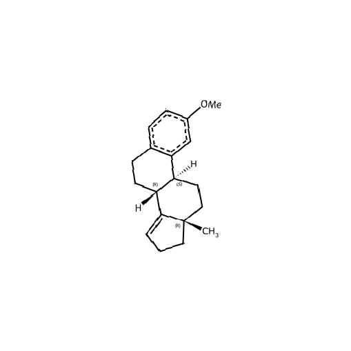 COc1[c]cc2c(c1)[C@H]1CC[C@]3(C)CCC=C3[C@@H]1CC2